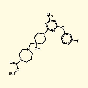 CC(C)(C)OC(=O)N1CCCN(CC2(O)CCN(c3nc(Oc4cccc(F)c4)cc(C(F)(F)F)n3)CC2)CC1